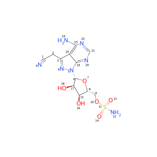 N#CCc1nn([C@@H]2O[C@H](COS(N)(=O)=O)[C@@H](O)[C@H]2O)c2ncnc(N)c12